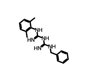 Cc1cccc(C)c1NC(=N)NC(=N)NCc1ccccc1